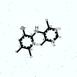 Cc1cc(Br)c(Nc2c(C)ncnc2C)nc1C